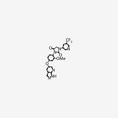 COc1cc(Oc2cnc3[nH]ncc3c2)ccc1N1C(=O)CN(c2cncc(C(F)(F)F)c2)C1=O